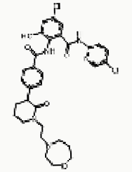 O=C(Nc1c(O)cc(Cl)cc1C(=O)Nc1ccc(Cl)cn1)c1ccc(C2CCCN(CCN3CCCOCC3)C2=O)cc1